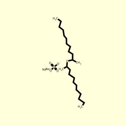 CCCCCCCCCCC(C)OC(C)CCCCCCCCCC.O=S(=O)([O-])[O-].[Na+].[Na+]